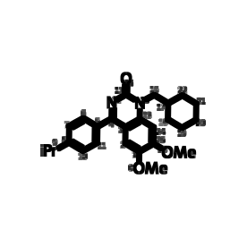 COc1cc2c(-c3ccc(C(C)C)cc3)nc(=O)n(CC3CCCCC3)c2cc1OC